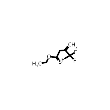 C=C(CC(=S)OCC)C(F)(F)F